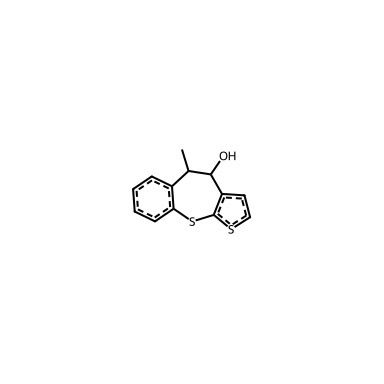 CC1c2ccccc2Sc2sccc2C1O